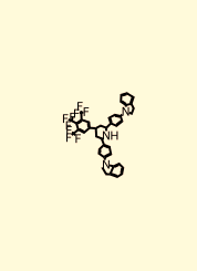 FC(F)(F)c1cc(C2CC(c3ccc(N4CCc5ccccc54)cc3)NC(c3ccc(N4CCc5ccccc54)cc3)C2)cc(C(F)(F)F)c1C(F)(F)F